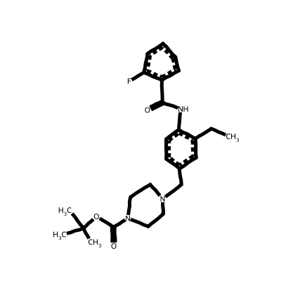 CCc1cc(CN2CCN(C(=O)OC(C)(C)C)CC2)ccc1NC(=O)c1ccccc1F